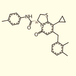 Cc1ccc(NC(=O)[C@@H]2CSc3c(C4CC4)c(Cc4cccc(C)c4C)cc(=O)n32)cc1